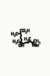 CCCC[C@H](C)C(C)CCCC(C)(O)CCCC(C)C(=O)O